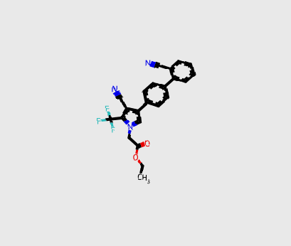 CCOC(=O)Cn1cc(-c2ccc(-c3ccccc3C#N)cc2)c(C#N)c1C(F)(F)F